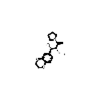 C=C([C@H](N)[C@@H](O)c1ccc2c(c1)OCCO2)N1CCCC1